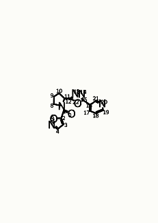 O=C(c1ccno1)N1CCCC1c1nnc(-c2cccnc2)o1